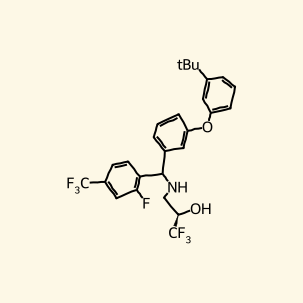 CC(C)(C)c1cccc(Oc2cccc(C(NC[C@@H](O)C(F)(F)F)c3ccc(C(F)(F)F)cc3F)c2)c1